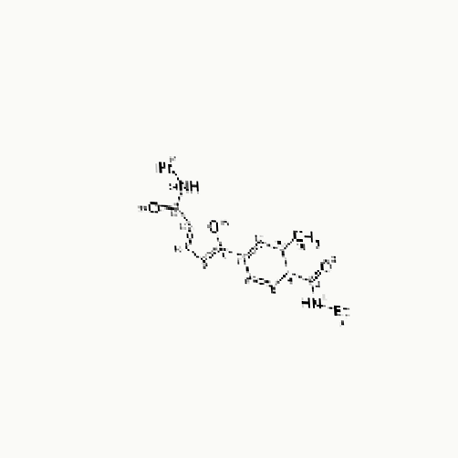 CCNC(=O)C1C=CC(c2ccc(C(=O)NC(C)C)o2)=CC1C